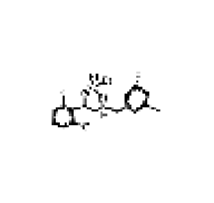 CC[Si](CC)(CC)OC(CNCc1cc(F)cc(F)c1)c1c(Cl)cccc1Cl